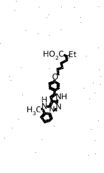 CC[C@H](CCCCCOc1ccc(-c2cc3c(NC(C)c4ccccc4)ncnc3[nH]2)cc1)C(=O)O